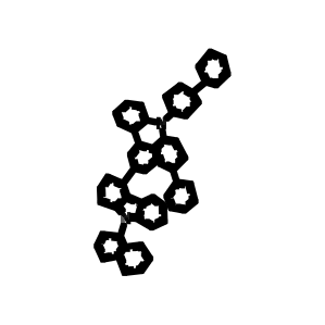 c1ccc(-c2ccc(N(c3ccc(-c4ccccc4)cc3)c3ccccc3-c3cccc(-c4cccc5c4c4ccccc4n5-c4cccc5ccccc45)c3)cc2)cc1